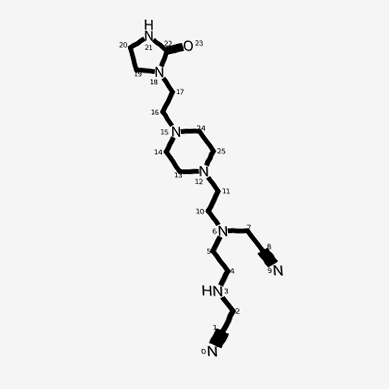 N#CCNCCN(CC#N)CCN1CCN(CCN2CCNC2=O)CC1